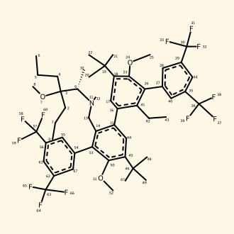 CCCC(CCC)(OC)[C@H](C)N(C)Cc1c(-c2cc(C(C)(C)C)c(OC)c(-c3cc(C(F)(F)F)cc(C(F)(F)F)c3)c2CC)cc(C(C)(C)C)c(OC)c1-c1cc(C(F)(F)F)cc(C(F)(F)F)c1